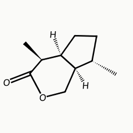 C[C@@H]1C(=O)OC[C@H]2[C@@H]1CC[C@@H]2C